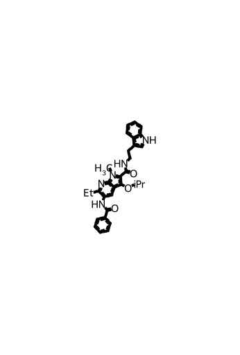 CCc1nc2c(cc1NC(=O)c1ccccc1)c(OC(C)C)c(C(=O)NCCc1c[nH]c3ccccc13)n2C